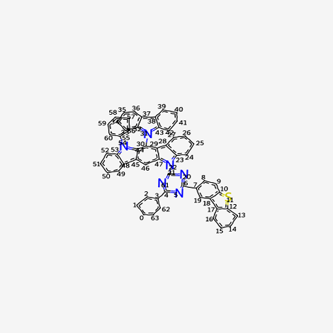 c1ccc(-c2nc(-c3ccc4sc5ccccc5c4c3)nc(-n3c4ccccc4c4c(-n5c6ccccc6c6ccccc65)c5c(cc43)c3ccccc3n5-c3ccccc3)n2)cc1